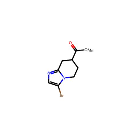 COC(=O)C1CCn2c(Br)cnc2C1